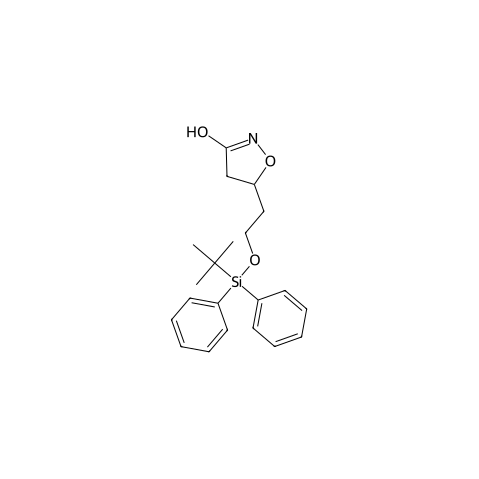 CC(C)(C)[Si](OCCC1CC(O)=NO1)(c1ccccc1)c1ccccc1